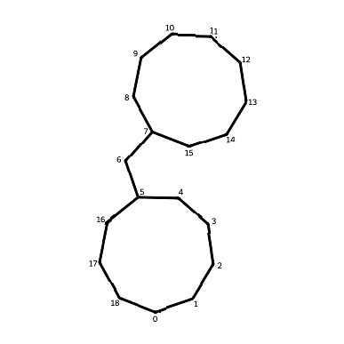 [CH]1CCCCC(CC2CCC[CH]CCCC2)CCC1